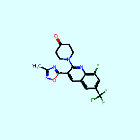 Cc1noc(-c2cc3cc(C(F)(F)F)cc(F)c3nc2N2CCC(=O)CC2)n1